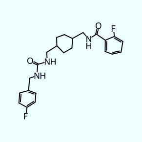 O=C(NCc1ccc(F)cc1)NCC1CCC(CNC(=O)c2ccccc2F)CC1